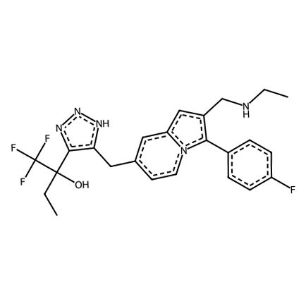 CCNCc1cc2cc(Cc3[nH]nnc3C(O)(CC)C(F)(F)F)ccn2c1-c1ccc(F)cc1